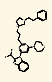 FC(F)c1nc2ccccc2n1-c1cc(N2CCOCC2)nc(CCC[C@H]2CCN(CCc3ccccc3)C2)n1